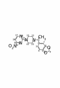 CC(c1ccc2c(c1)OCO2)N1CCN(c2nccc([N+](=O)[O-])n2)CC1